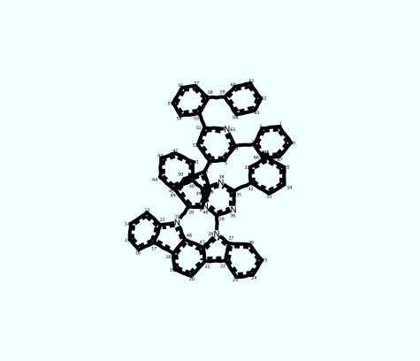 c1ccc(-c2cc(-c3ccc(-n4c5ccccc5c5ccc6c7ccccc7n(-c7nc(-c8ccccc8)nc(-c8ccccc8)n7)c6c54)cc3)cc(-c3ccccc3-c3ccccc3)n2)cc1